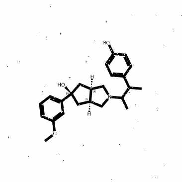 COc1cccc([C@]2(O)C[C@H]3CN(C(C)C(C)c4ccc(O)cc4)C[C@H]3C2)c1